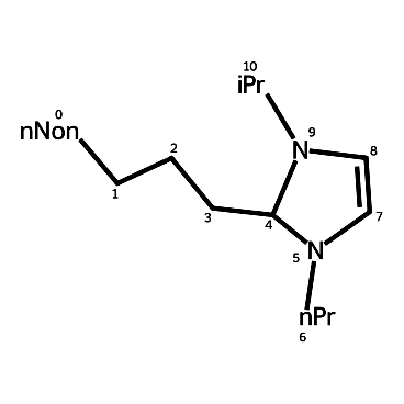 CCCCCCCCCCCCC1N(CCC)C=CN1C(C)C